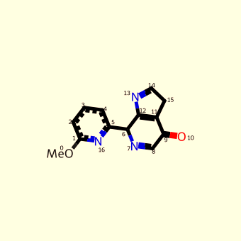 COc1cccc(C2N=CC(=O)C3=C2N=CC3)n1